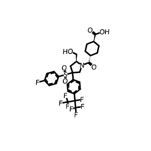 O=C(O)[C@H]1CC[C@H](C(=O)N2CC(c3ccc(C(F)(C(F)(F)F)C(F)(F)F)cc3)(S(=O)(=O)c3ccc(F)cc3)C[C@H]2CO)CC1